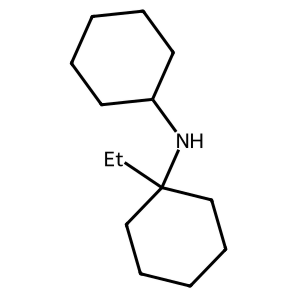 CCC1(NC2CCCCC2)CCCCC1